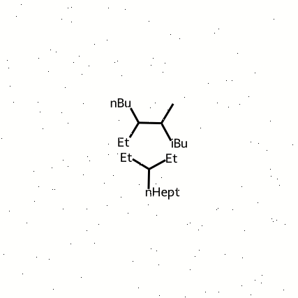 CCCCC(CC)C(C)C(C)CC.CCCCCCCC(CC)CC